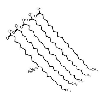 CCCCCCCCCCCCCCCCCCCCCC(=O)[O-].CCCCCCCCCCCCCCCCCCCCCC(=O)[O-].CCCCCCCCCCCCCCCCCCCCCC(=O)[O-].CCCCCCCCCCCCCCCCCCCCCC(=O)[O-].CCCCCCCCCCCCCCCCCCCCCC(=O)[O-].[Fe+3].[Mg+2]